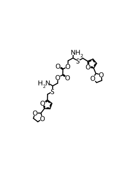 NC(COC(=O)C(=O)OCC(N)SCc1ccc(C2OCCO2)o1)SCc1ccc(C2OCCO2)o1